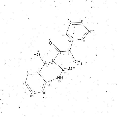 CN(C(=O)c1c(O)c2ccccc2[nH]c1=O)c1cccnc1